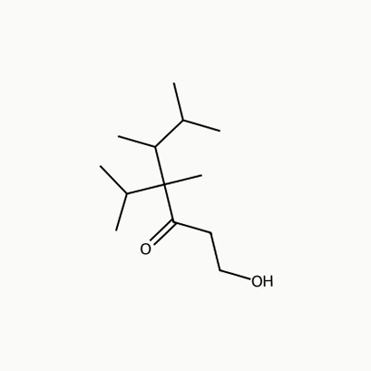 CC(C)C(C)C(C)(C(=O)CCO)C(C)C